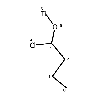 CCCC(Cl)[O][Ti]